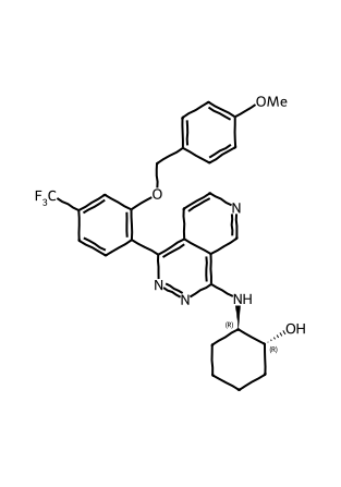 COc1ccc(COc2cc(C(F)(F)F)ccc2-c2nnc(N[C@@H]3CCCC[C@H]3O)c3cnccc23)cc1